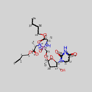 CCCCOC(=O)[C@H](C)NP(=O)(CO[C@]1(C)C[C@@H](O)[C@H](n2ccc(=O)[nH]c2=O)O1)N[C@@H](C)C(=O)OCCCC